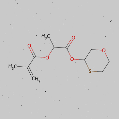 C=C(C)C(=O)OC(C)C(=O)OC1COCCS1